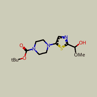 COC(O)c1ncc(N2CCN(C(=O)OC(C)(C)C)CC2)s1